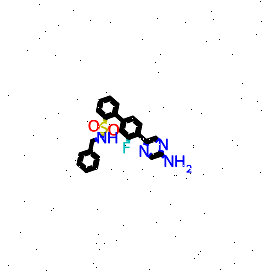 Nc1cnc(-c2ccc(-c3ccccc3S(=O)(=O)NCc3ccccc3)cc2F)cn1